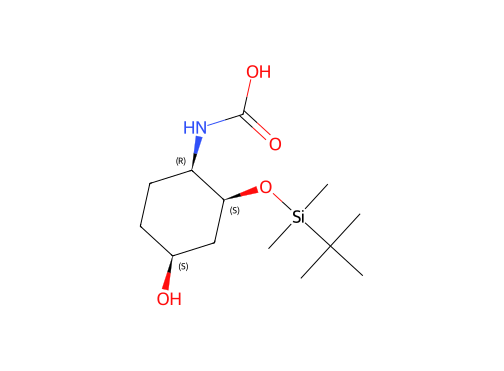 CC(C)(C)[Si](C)(C)O[C@H]1C[C@@H](O)CC[C@H]1NC(=O)O